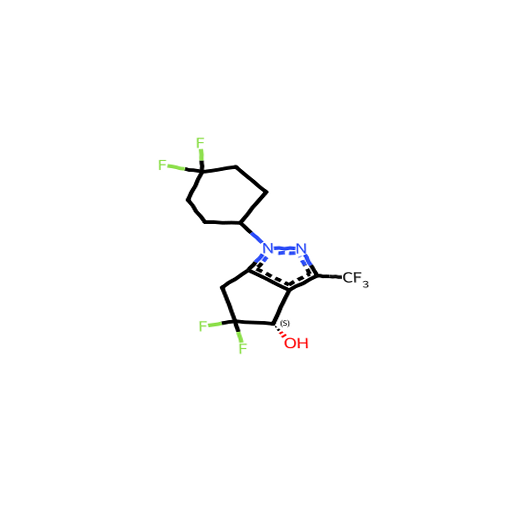 O[C@H]1c2c(C(F)(F)F)nn(C3CCC(F)(F)CC3)c2CC1(F)F